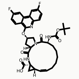 CC(C)(C)OC(=O)N[C@H]1CCCCCC=C[C@@H]2C[C@@]2(C(=O)O)NC(=O)[C@@H]2C[C@@H](Oc3nc4ccc(F)cc4c4cc(F)ccc34)CN2C1=O